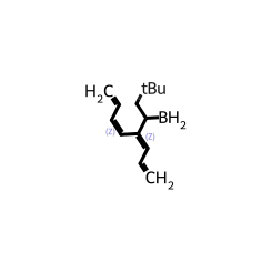 BC(CC(C)(C)C)C(/C=C\C=C)=C/C=C